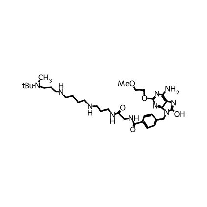 COCCOc1nc(N)c2nc(O)n(Cc3ccc(C(=O)NCC(=O)NCCCNCCCCNCCCN(C)C(C)(C)C)cc3)c2n1